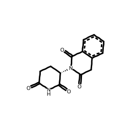 O=C1CC[C@H](N2C(=O)Cc3ccccc3C2=O)C(=O)N1